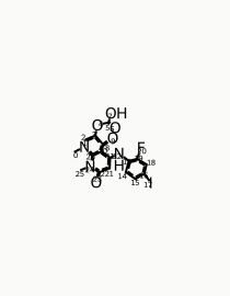 Cn1cc(OC(=O)O)c(=O)c2c(Nc3ccc(I)cc3F)cc(=O)n(C)c21